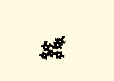 Cc1ccc(-n2cc(C3OCC(=O)N3CCc3ccc4[nH]c(=O)[nH]c4c3)c(-c3ccsc3)n2)cc1